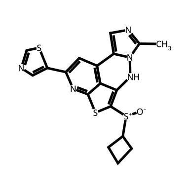 Cc1ncc2c3cc(-c4cncs4)nc4sc([S+]([O-])C5CCC5)c([nH]n12)c43